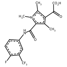 Cc1c(C(=O)C(=O)O)c(C)n(C)c1C(=O)Nc1ccc(F)c(C(F)(F)F)c1